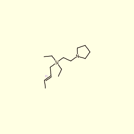 C/C=C/C[Si](CC)(CC)CCN1CCCC1